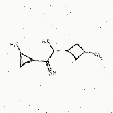 CC1=CC1C(=N)C(C)C1CN(C)C1